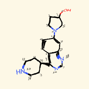 OC1CCN(c2ccc3c(C4CCNCC4)ncnc3c2)C1